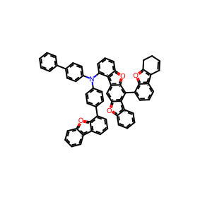 C1=Cc2c(oc3c(-c4c5oc6cccc(N(c7ccc(-c8ccccc8)cc7)c7ccc(-c8cccc9c8oc8ccccc89)cc7)c6c5cc5oc6ccccc6c45)cccc23)CC1